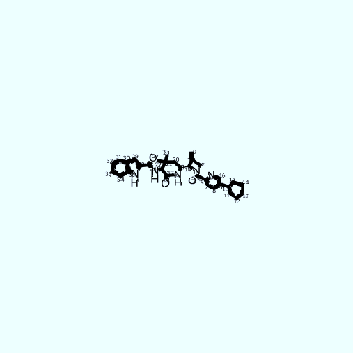 C=C1CN(C(=O)c2ccc(-c3ccccc3)cn2)C1[C@@H]1CC(C)(C)C(NC(=O)c2cc3ccccc3[nH]2)C(=O)N1